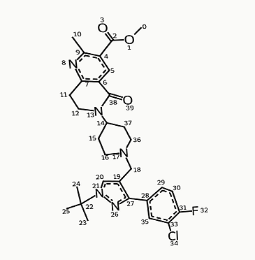 COC(=O)c1cc2c(nc1C)CCN(C1CCN(Cc3cn(C(C)(C)C)nc3-c3ccc(F)c(Cl)c3)CC1)C2=O